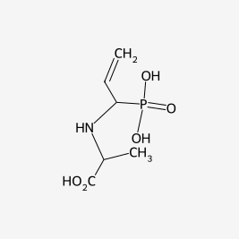 C=CC(NC(C)C(=O)O)P(=O)(O)O